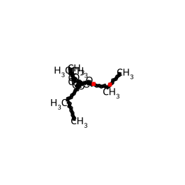 CCCCCCCCC(C)CCCCCCC(=O)OC[C@H](COP(=O)([O-])OCC[N+](C)(C)C)OC(=O)CCCCCCC(C)CCCCCCCC